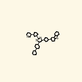 c1ccc(-c2ccc(-c3cc(-c4ccc(-c5ccc6sc7ccccc7c6c5)cc4)nc(-c4cccc(-c5cccnc5)c4)n3)cc2)cc1